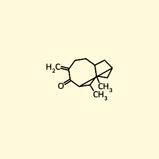 C=C1CCC2CC3CC2(C)C(C)C3C1=O